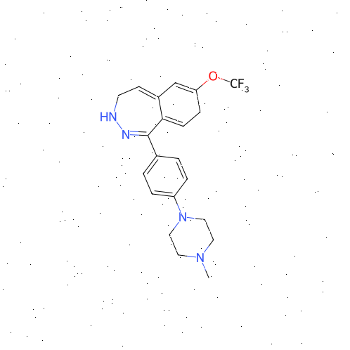 CN1CCN(c2ccc(C3=NNCC=C4C=C(OC(F)(F)F)CC=C43)cc2)CC1